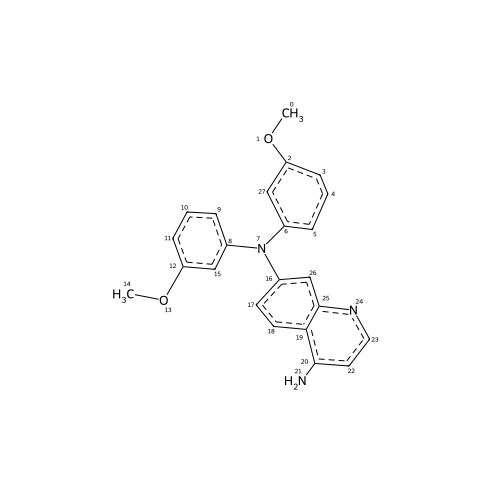 COc1cccc(N(c2cccc(OC)c2)c2ccc3c(N)ccnc3c2)c1